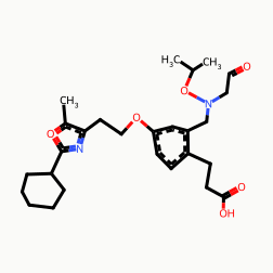 Cc1oc(C2CCCCC2)nc1CCOc1ccc(CCC(=O)O)c(CN(CC=O)OC(C)C)c1